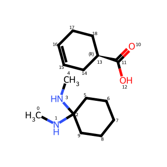 CNC1(NC)CCCCC1.O=C(O)[C@H]1CC=CCC1